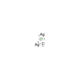 [Ag+].[Ag].[C].[Cl-]